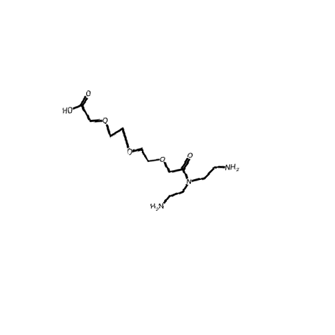 NCCN(CCN)C(=O)COCCOCCOCC(=O)O